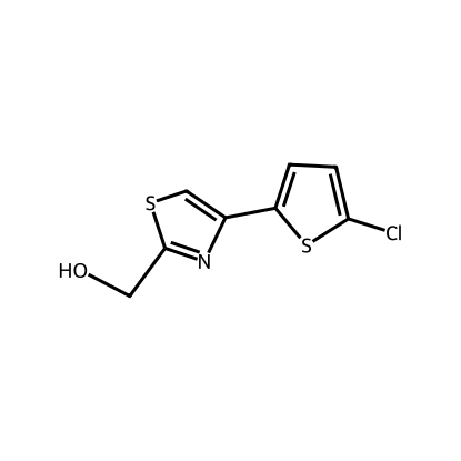 OCc1nc(-c2ccc(Cl)s2)cs1